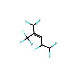 FC(F)C(=CC(F)C(F)F)C(F)(F)F